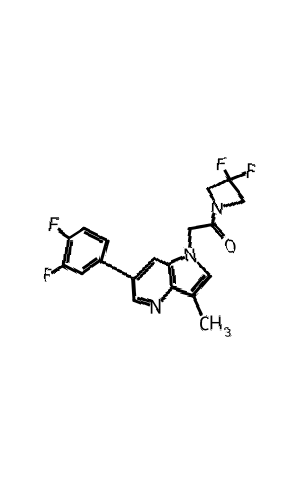 Cc1cn(CC(=O)N2CC(F)(F)C2)c2cc(-c3ccc(F)c(F)c3)cnc12